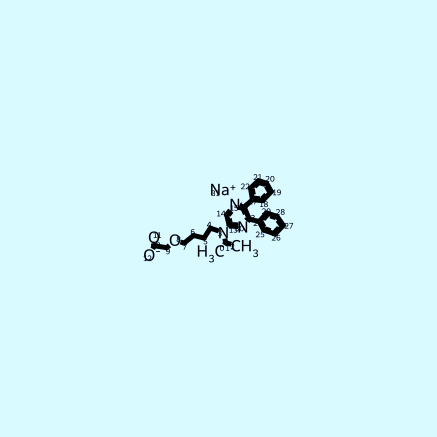 CC(C)N(CCCCOCC(=O)[O-])c1cnc(-c2ccccc2)c(-c2ccccc2)n1.[Na+]